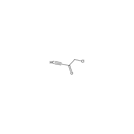 C#CC(=O)CCl